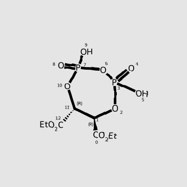 CCOC(=O)[C@@H]1OP(=O)(O)OP(=O)(O)O[C@H]1C(=O)OCC